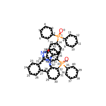 O=P(c1ccccc1)(c1ccccc1)c1ccc2c(c1)nc1c3ccccc3c3cccc(P(=O)(c4ccccc4)c4ccccc4)c3n21